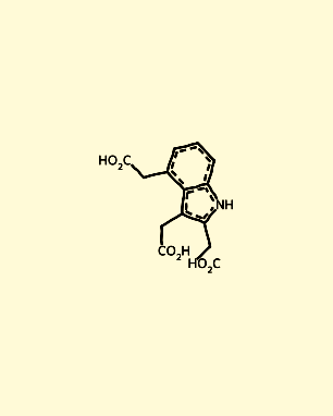 O=C(O)Cc1[nH]c2cccc(CC(=O)O)c2c1CC(=O)O